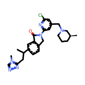 CC(Cc1nncn1C)c1ccc2c(c1)C(=O)N(c1cc(CN3CCC[C@H](C)C3)cc(Cl)n1)C2